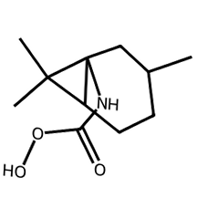 CC1CCC2C(C)(C)C2(NC(=O)OO)C1